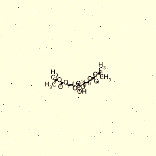 CC(C)OC(=O)OCCOP(=O)(O)OCCOC(=O)OC(C)C